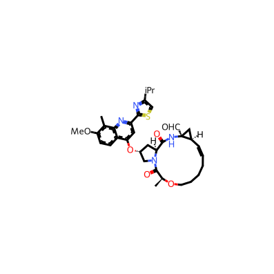 COc1ccc2c(O[C@@H]3C[C@H]4C(=O)N[C@]5(C=O)C[C@H]5/C=C\CCCCO[C@@H](C)C(=O)N4C3)cc(-c3nc(C(C)C)cs3)nc2c1C